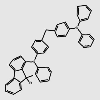 CCC1(C)c2ccccc2-c2cccc(N(c3ccccc3)c3ccc(Cc4ccc(N(c5ccccc5)c5ccccc5)cc4)cc3)c21